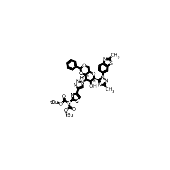 Cc1nc([C@@H]2OC3COC(c4ccccc4)O[C@@H]3C(n3cc(-c4csc(N(C(=O)OC(C)(C)C)C(=O)OC(C)(C)C)n4)nn3)C2O)n(-c2ccc3nc(C)sc3c2)n1